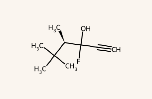 C#CC(O)(F)[C@H](C)C(C)(C)C